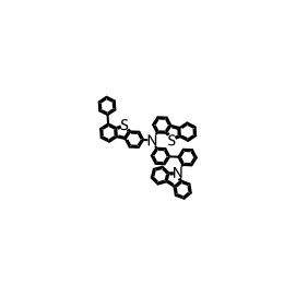 c1ccc(-c2cccc3c2sc2cc(N(c4cccc(-c5ccccc5-n5c6ccccc6c6ccccc65)c4)c4cccc5c4sc4ccccc45)ccc23)cc1